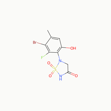 Cc1cc(O)c(N2CC(=O)NS2(=O)=O)c(F)c1Br